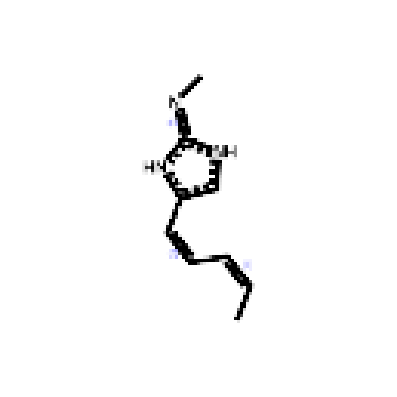 C/C=C\C=C/c1c[nH]/c(=N\C)[nH]1